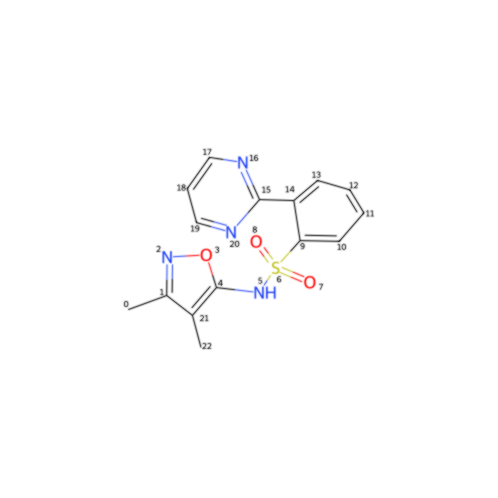 Cc1noc(NS(=O)(=O)c2ccccc2-c2ncccn2)c1C